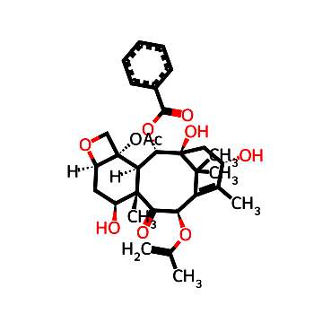 C=C(C)O[C@H]1C(=O)[C@@]2(C)[C@H]([C@H](OC(=O)c3ccccc3)[C@]3(O)C[C@H](O)C(C)=C1C3(C)C)[C@]1(OC(C)=O)CO[C@@H]1C[C@@H]2O